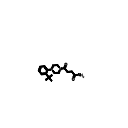 CC(C)(C)c1ccccc1N1CCN(C(=O)CCC(N)=O)CC1